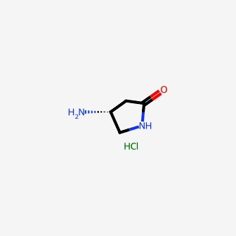 Cl.N[C@H]1CNC(=O)C1